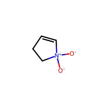 [O-][N+]1([O-])C=CCC1